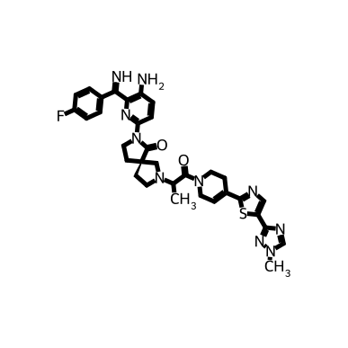 CC(C(=O)N1CC=C(c2ncc(-c3ncn(C)n3)s2)CC1)N1CC[C@]2(CCN(c3ccc(N)c(C(=N)c4ccc(F)cc4)n3)C2=O)C1